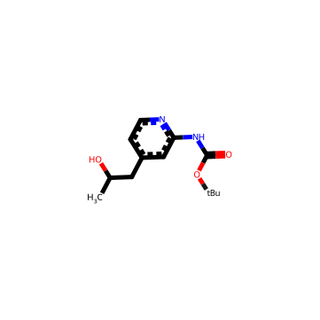 CC(O)Cc1ccnc(NC(=O)OC(C)(C)C)c1